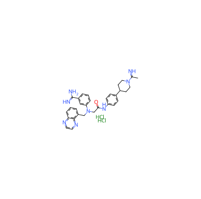 CC(=N)N1CCC(c2ccc(NC(=O)CN(Cc3cccc4nccnc34)c3cccc(C(=N)N)c3)cc2)CC1.Cl.Cl